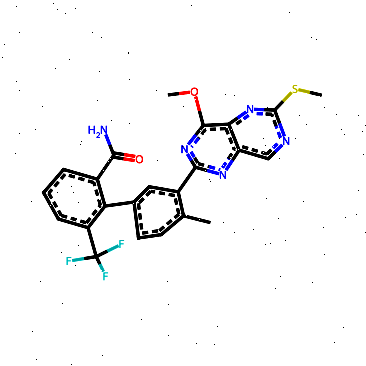 COc1nc(-c2cc(-c3c(C(N)=O)cccc3C(F)(F)F)ccc2C)nc2cnc(SC)nc12